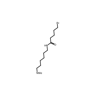 CNCCCCCCNC(=O)CCCCC(C)=O